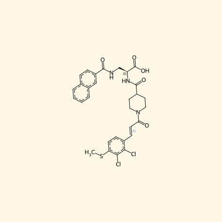 CSc1ccc(/C=C/C(=O)N2CCC(C(=O)N[C@@H](CNC(=O)c3ccc4ccccc4c3)C(=O)O)CC2)c(Cl)c1Cl